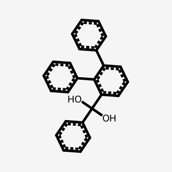 OC(O)(c1ccccc1)c1cccc(-c2ccccc2)c1-c1ccccc1